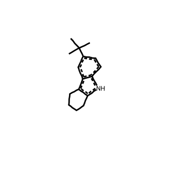 CC(C)(C)c1ccc2[nH]c3c(c2c1)CCCC3